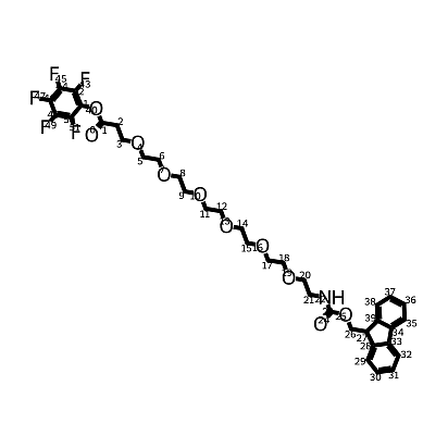 O=C(CCOCCOCCOCCOCCOCCOCCNC(=O)OCC1c2ccccc2-c2ccccc21)Oc1c(F)c(F)c(F)c(F)c1F